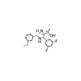 CCc1cccc(CNC(c2cc(F)cc(F)c2)[C@H](N)[C@@H](C)O)c1